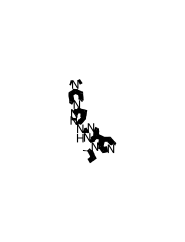 CC[C@H](C)n1c2cnccc2c2cnc(Nc3ccc(N4CCC(N(C)C)CC4)nn3)nc21